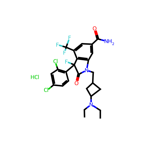 CCN(CC)C1CC(CN2C(=O)C(F)(c3ccc(Cl)cc3Cl)c3c2cc(C(N)=O)cc3C(F)(F)F)C1.Cl